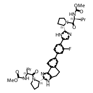 COC(=O)N[C@H](C(=O)N1CCC[C@H]1c1ncc(-c2ccc(-c3ccc4c(c3)CCc3[nH]c([C@@H]5CCCN5C(=O)[C@@H](NC(=O)OC)C(C)C)nc3-4)cc2F)[nH]1)C(C)C